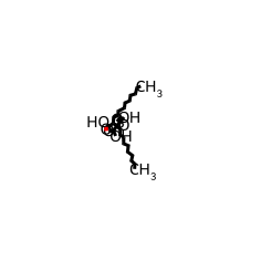 CCCCCCCCCCC(C(=O)O)C(CCCCCCCCCC)(C(=O)O)S(=O)(=O)O